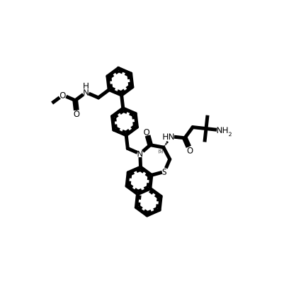 COC(=O)NCc1ccccc1-c1ccc(CN2C(=O)[C@H](NC(=O)CC(C)(C)N)CSc3c2ccc2ccccc32)cc1